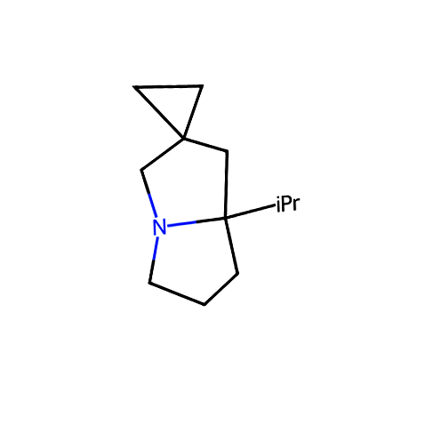 CC(C)C12CCCN1CC1(CC1)C2